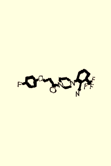 N#Cc1c(N2CCN(C(=O)CCOc3ccc(F)cc3)CC2)cccc1C(F)(F)F